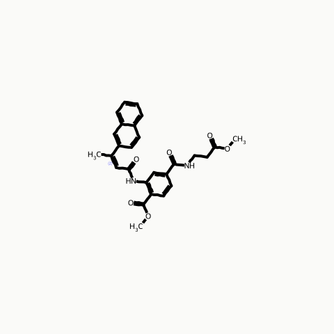 COC(=O)CCNC(=O)c1ccc(C(=O)OC)c(NC(=O)/C=C(/C)c2ccc3ccccc3c2)c1